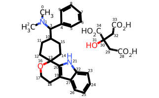 CN(C)C(c1ccccc1)C1CCC2(CC1)OCCc1c2[nH]c2ccccc12.O=C(O)CC(O)(CC(=O)O)C(=O)O